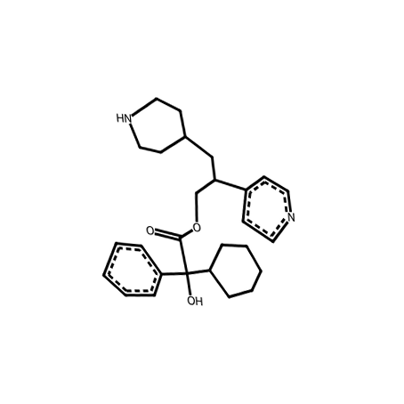 O=C(OCC(CC1CCNCC1)c1ccncc1)C(O)(c1ccccc1)C1CCCCC1